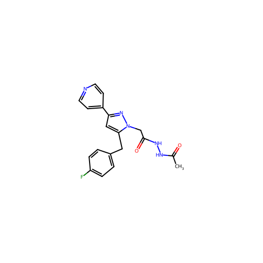 CC(=O)NNC(=O)Cn1nc(-c2ccncc2)cc1Cc1ccc(F)cc1